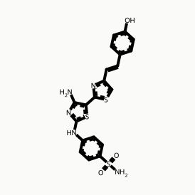 Nc1nc(Nc2ccc(S(N)(=O)=O)cc2)sc1-c1nc(C=Cc2ccc(O)cc2)cs1